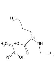 C=CC(=O)O.CCN[C@@H](CCSC)C(=O)O